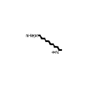 CCCCCCCCCCCCCCCCC(C)[NH]